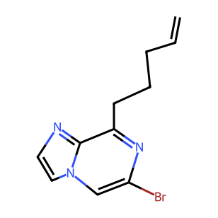 C=CCCCc1nc(Br)cn2ccnc12